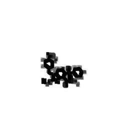 Cc1nc2c(C(N)=O)c(S(=O)(=O)c3ccccc3)ccc2n1Cc1ccc([N+](=O)[O-])cc1